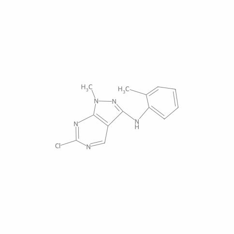 Cc1ccccc1Nc1nn(C)c2nc(Cl)ncc12